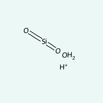 O.O=[Si]=O.[H+]